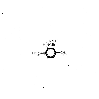 Cc1ccc(S(=O)(=O)O)cc1.NBr.[NaH]